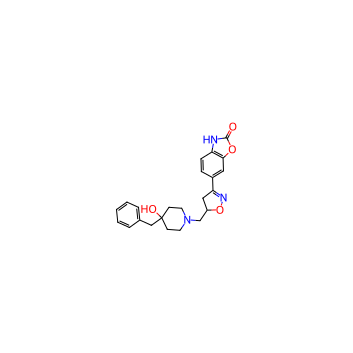 O=c1[nH]c2ccc(C3=NOC(CN4CCC(O)(Cc5ccccc5)CC4)C3)cc2o1